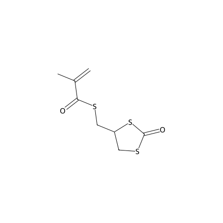 C=C(C)C(=O)SCC1CSC(=O)S1